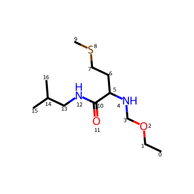 CCOCNC(CCSC)C(=O)NCC(C)C